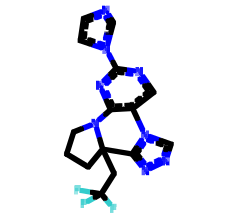 FC(F)(F)CC12CCCN1c1nc(-n3ccnc3)ncc1-n1cnnc12